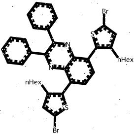 CCCCCCc1cc(Br)sc1-c1ccc(-c2sc(Br)cc2CCCCCC)c2nc(-c3ccccc3)c(-c3ccccc3)nc12